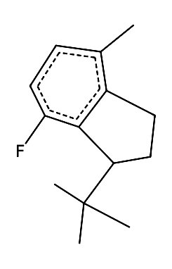 Cc1ccc(F)c2c1CCC2C(C)(C)C